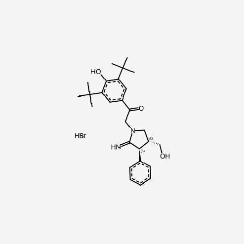 Br.CC(C)(C)c1cc(C(=O)CN2C[C@H](CO)[C@@H](c3ccccc3)C2=N)cc(C(C)(C)C)c1O